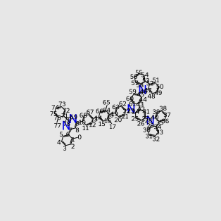 Cc1ccccc1-c1cc(-c2ccc(-c3cc(C)c(-c4ccc(-n5c6ccc(-n7c8ccccc8c8ccccc87)cc6c6cc(-n7c8ccccc8c8ccccc87)ccc65)cc4)c(C)c3)cc2)nc(-c2ccccc2C)n1